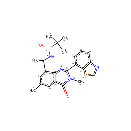 Cc1cc(C(C)N[S@+]([O-])C(C)(C)C)c2nc(-c3cccc4ncsc34)n(C)c(=O)c2c1